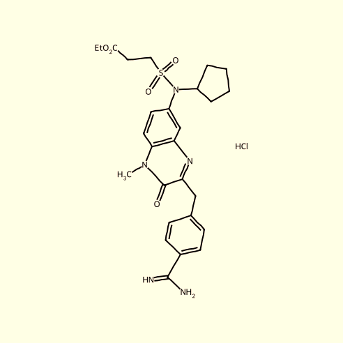 CCOC(=O)CCS(=O)(=O)N(c1ccc2c(c1)nc(Cc1ccc(C(=N)N)cc1)c(=O)n2C)C1CCCC1.Cl